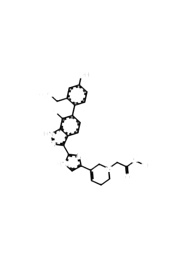 CCc1cc(O)ccc1-c1ccc2c(-c3nc(C4=CCCN(CC(=O)NC)C4)c[nH]3)n[nH]c2c1F